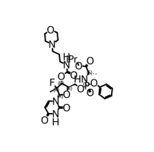 CC(C)OC(=O)[C@H](C)N[P@](=O)(OC[C@H]1O[C@@H](n2ccc(=O)[nH]c2=O)[C@](C)(F)[C@@H]1OC(=O)NCCCN1CCOCC1)Oc1ccccc1